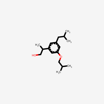 C[C](CO)c1cc(CC(C)C)cc(OCC(C)C)c1